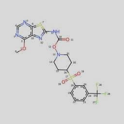 COc1ncnc2sc(NC(=O)ON3CCC(S(=O)(=O)c4cccc(C(F)(F)F)c4)CC3)nc12